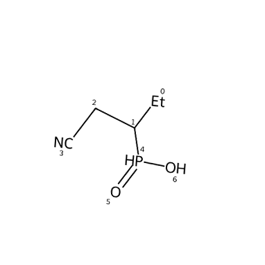 CCC(CC#N)[PH](=O)O